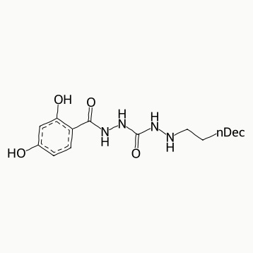 CCCCCCCCCCCCNNC(=O)NNC(=O)c1ccc(O)cc1O